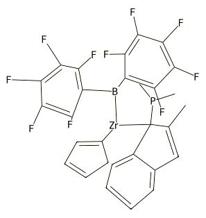 CC1=Cc2ccccc2[C]1(P(C)C)[Zr]([B](c1c(F)c(F)c(F)c(F)c1F)c1c(F)c(F)c(F)c(F)c1F)[C]1=CC=CC1